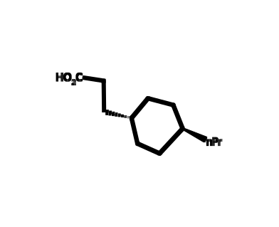 CCC[C@H]1CC[C@H](CCC(=O)O)CC1